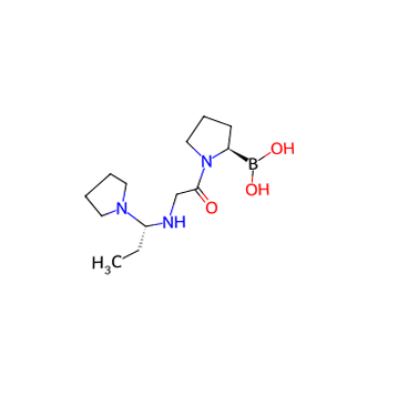 CC[C@@H](NCC(=O)N1CCC[C@H]1B(O)O)N1CCCC1